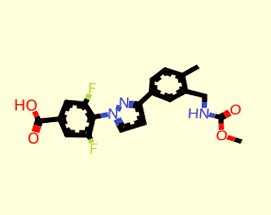 COC(=O)NCc1cc(-c2ccn(-c3c(F)cc(C(=O)O)cc3F)n2)ccc1C